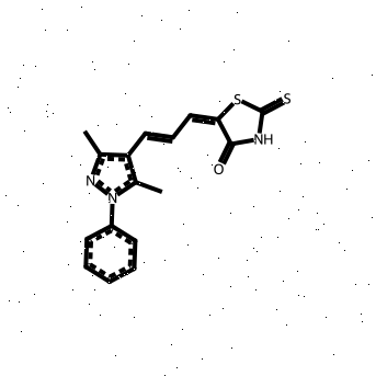 Cc1nn(-c2ccccc2)c(C)c1C=CC=C1SC(=S)NC1=O